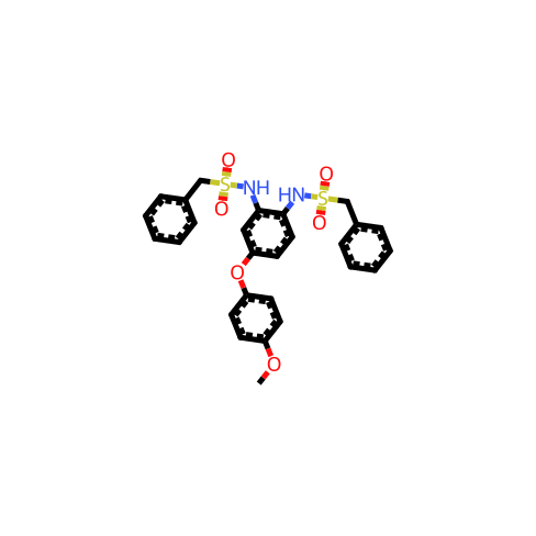 COc1ccc(Oc2ccc(NS(=O)(=O)Cc3ccccc3)c(NS(=O)(=O)Cc3ccccc3)c2)cc1